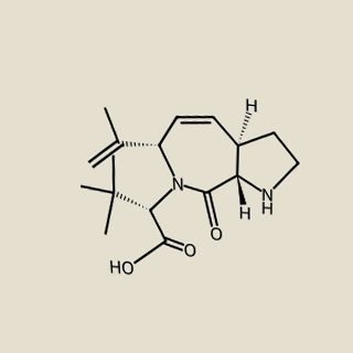 C=C(C)[C@@H]1C=C[C@H]2CCN[C@@H]2C(=O)N1[C@H](C(=O)O)C(C)(C)C